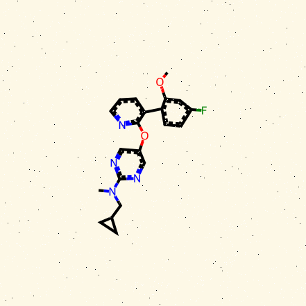 COc1cc(F)ccc1-c1cccnc1Oc1cnc(N(C)CC2CC2)nc1